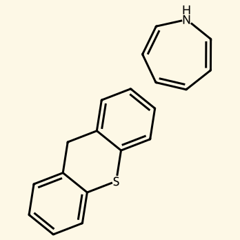 C1=CC=CNC=C1.c1ccc2c(c1)Cc1ccccc1S2